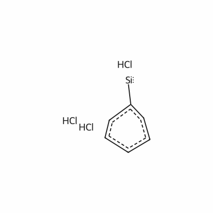 Cl.Cl.Cl.[Si]c1ccccc1